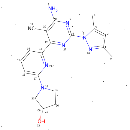 Cc1cc(C)n(-c2nc(N)c(C#N)c(-c3cccc(N4CC[C@H](O)C4)n3)n2)n1